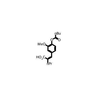 CCCCC(=O)Oc1ccc(C=C(CCC)C(=O)O)cc1OC